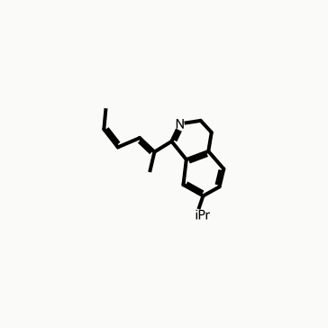 C/C=C\C=C(/C)C1=NCCc2ccc(C(C)C)cc21